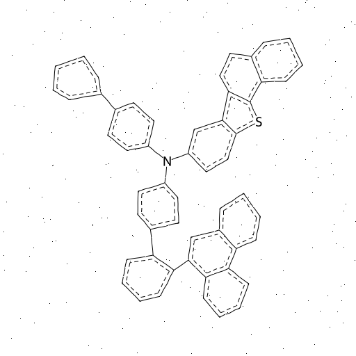 c1ccc(-c2ccc(N(c3ccc(-c4ccccc4-c4cc5ccccc5c5ccccc45)cc3)c3ccc4sc5c6ccccc6ccc5c4c3)cc2)cc1